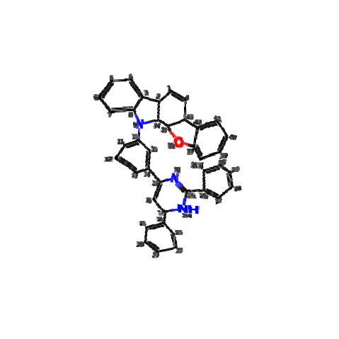 C1=CC2c3ccccc3N(c3cccc(C4=CC(c5ccccc5)NC(c5ccccc5)=N4)c3)C2C2Oc3ccccc3C12